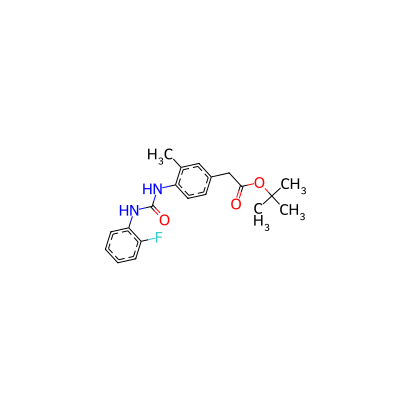 Cc1cc(CC(=O)OC(C)(C)C)ccc1NC(=O)Nc1ccccc1F